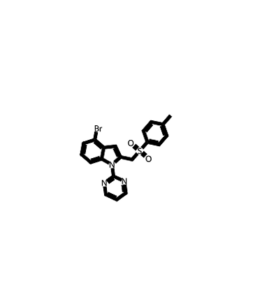 Cc1ccc(S(=O)(=O)Cc2cc3c(Br)cccc3n2-c2ncccn2)cc1